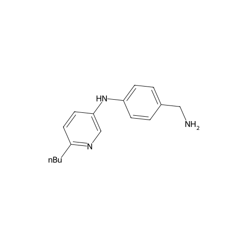 CCCCc1ccc(Nc2ccc(CN)cc2)cn1